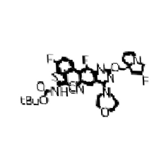 CC(C)(C)OC(=O)Nc1sc2c(F)ccc(-c3c(Cl)cc4c(N5CCCOCC5)nc(OC[C@@]56CCCN5C[C@H](F)C6)nc4c3F)c2c1C#N